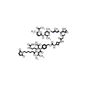 CC(=O)O[C@@H](C)/C=C\C(=O)N[C@@H]1C[C@H](C)[C@H](C/C=C(C)/C=C/[C@H]2O[C@H](CC(=O)NC3CC(NC(=O)OCc4ccc(N(C(=O)[C@@H](NC(=O)CCCCCN5C(=O)C=CC5=O)C(C)C)[C@@H](CCCNC(N)=O)C(N)=O)cc4)C3)C[C@@]3(CO3)[C@@H]2O)O[C@@H]1C